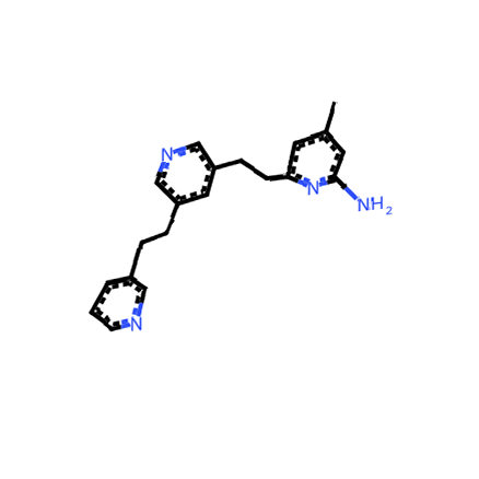 Cc1cc(N)nc(CCc2cncc(CCc3cccnc3)c2)c1